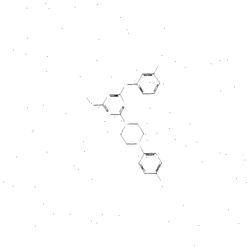 CCOc1nc(Nc2cccc(C(F)(F)F)c2)nc(N2CCN(c3ccc(Cl)cc3)CC2)n1